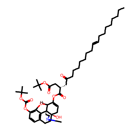 CCCCCCCCC=CCCCCCCCC(=O)C[C@@H](CC(=O)OC(C)(C)C)C(=O)OC1=CC[C@]2(O)C3Cc4ccc(OC(=O)OC(C)(C)C)c5c4[C@@]2(CCN3C)[C@H]1O5